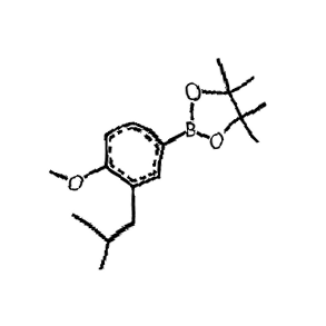 COc1ccc(B2OC(C)(C)C(C)(C)O2)cc1CC(C)C